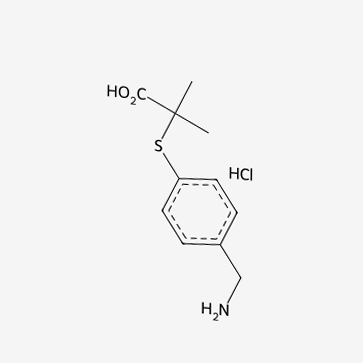 CC(C)(Sc1ccc(CN)cc1)C(=O)O.Cl